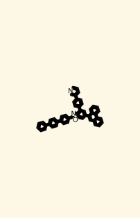 c1ccc(-c2ccc(-c3ccc(-c4nc5c(-c6ccc(-c7cccnc7)cc6)cc(-c6cc7ccccc7c7ccccc67)cc5o4)cc3)cc2)cc1